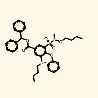 CCCCNc1cc(C(=O)OC(c2ccccc2)c2ccccc2)cc(S(=O)(=O)N(C)OCCCC)c1Oc1ccccc1